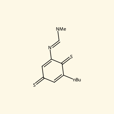 CCCCC1=CC(=S)C=C(N=CNC)C1=S